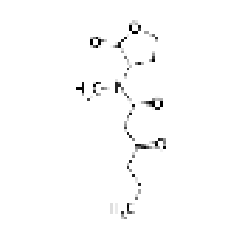 CCCC(=O)CC(=O)N(C)C1CCOC1=O